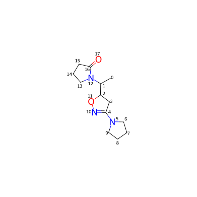 CC(C1CC(N2CCCC2)=NO1)N1CCCC1=O